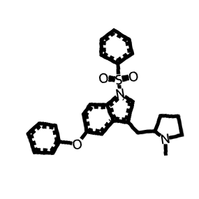 CN1CCCC1Cc1cn(S(=O)(=O)c2ccccc2)c2ccc(Oc3ccccc3)cc12